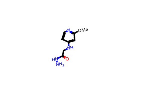 COc1cc(NCC(=O)NN)ccn1